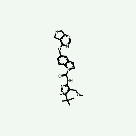 COCc1c(NC(=O)n2ccc3cc(Oc4ncnc5c4CNC5)ccc32)noc1C(C)(C)C